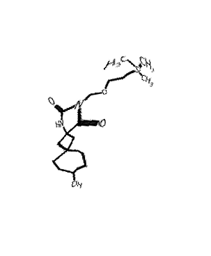 C[Si](C)(C)CCOCN1C(=O)NC2(CC3(CCC(O)CC3)C2)C1=O